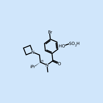 CC(C)[C@H](CN1CCC1)N(C)C(=O)c1ccc(Br)cc1.O=S(=O)(O)O